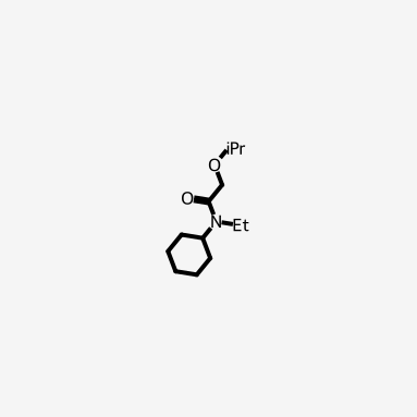 CCN(C(=O)COC(C)C)C1CCCCC1